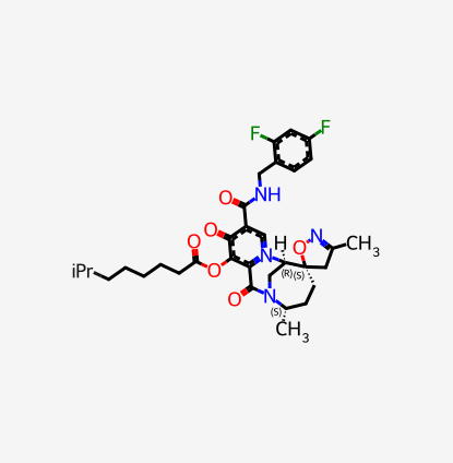 CC1=NO[C@@]2(CC[C@H](C)N3C[C@H]2n2cc(C(=O)NCc4ccc(F)cc4F)c(=O)c(OC(=O)CCCCCC(C)C)c2C3=O)C1